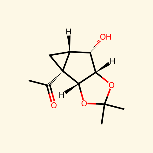 CC(=O)[C@]12C[C@@H]1[C@H](O)[C@@H]1OC(C)(C)O[C@@H]12